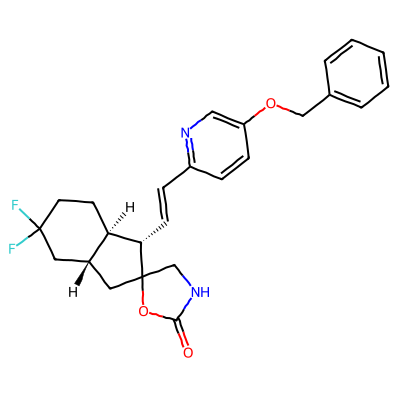 O=C1NCC2(C[C@@H]3CC(F)(F)CC[C@H]3[C@@H]2/C=C/c2ccc(OCc3ccccc3)cn2)O1